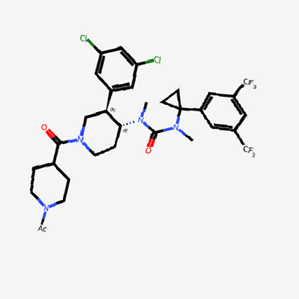 CC(=O)N1CCC(C(=O)N2CC[C@@H](N(C)C(=O)N(C)C3(c4cc(C(F)(F)F)cc(C(F)(F)F)c4)CC3)[C@H](c3cc(Cl)cc(Cl)c3)C2)CC1